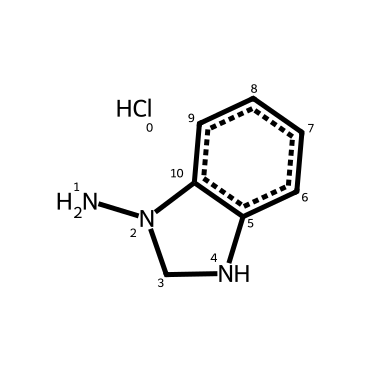 Cl.NN1CNc2ccccc21